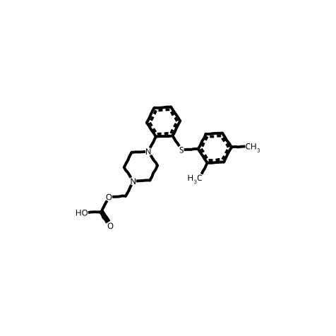 Cc1ccc(Sc2ccccc2N2CCN(COC(=O)O)CC2)c(C)c1